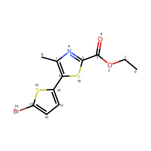 CCOC(=O)c1nc(C)c(-c2ccc(Br)s2)s1